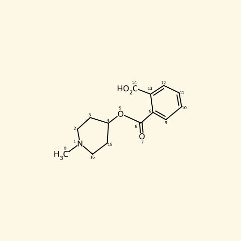 CN1CCC(OC(=O)c2ccccc2C(=O)O)CC1